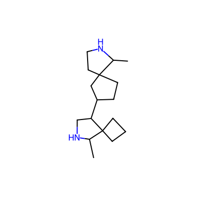 CC1NCCC12CCC(C1CNC(C)C13CCC3)C2